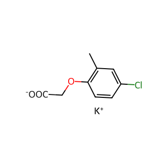 Cc1cc(Cl)ccc1OCC(=O)[O-].[K+]